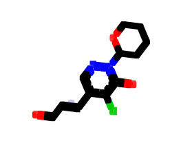 O=C/C=C/c1cnn(C2CCCCO2)c(=O)c1Cl